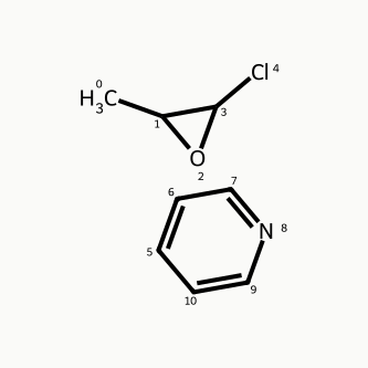 CC1OC1Cl.c1ccncc1